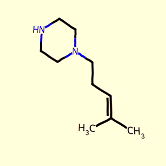 CC(C)=CCCN1CCNCC1